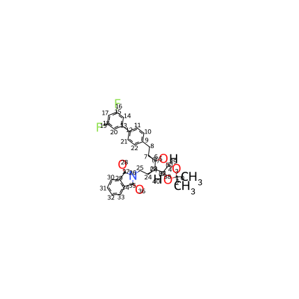 CC1(C)O[C@@H]2O[C@H](CCc3ccc(-c4cc(F)cc(F)c4)cc3)[C@H](CCN3C(=O)c4ccccc4C3=O)[C@@H]2O1